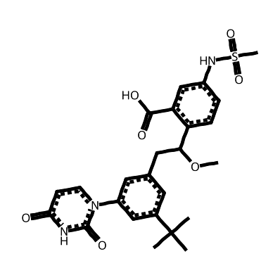 COC(Cc1cc(-n2ccc(=O)[nH]c2=O)cc(C(C)(C)C)c1)c1ccc(NS(C)(=O)=O)cc1C(=O)O